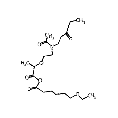 CCOCCCCCC(=O)OC(=O)C(C)OCCN(CCC(=O)CC)C(C)=O